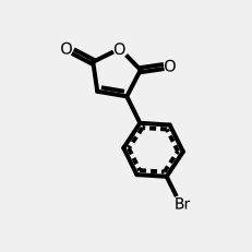 O=C1C=C(c2ccc(Br)cc2)C(=O)O1